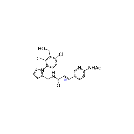 CC(=O)Nc1ccc(/C=C/C(=O)NCc2cccn2-c2ccc(Cl)c(CO)c2Cl)cn1